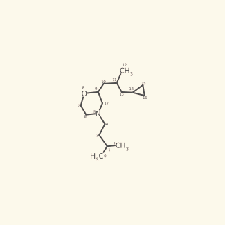 CC(C)CCN1CCOC(CC(C)CC2CC2)C1